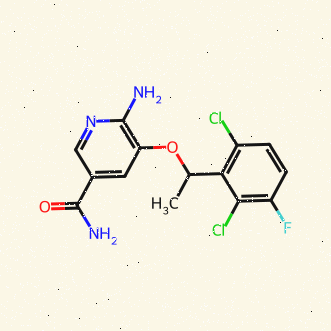 CC(Oc1cc(C(N)=O)cnc1N)c1c(Cl)ccc(F)c1Cl